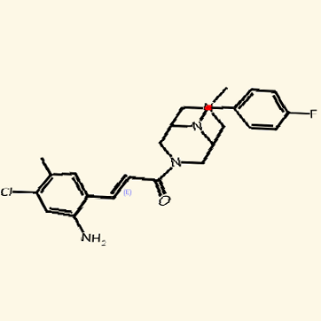 Cc1cc(/C=C/C(=O)N2CC3CN(C)CC(C2)N3Cc2ccc(F)cc2)c(N)cc1Cl